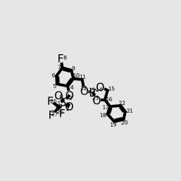 O=S(=O)(Oc1ccc(F)cc1COB1OCC(c2ccccc2)O1)C(F)(F)F